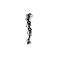 C=CC(=O)OCCCCOC(=O)OC1=CC=C(C(=O)Oc2ccc(C(=O)O[C@@H]3COC4CCOC43)cc2)CC1